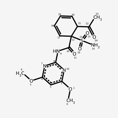 COc1cc(OC)nc(NC(=O)C2(S(N)(=O)=O)C=CC=CC2C(C)=O)n1